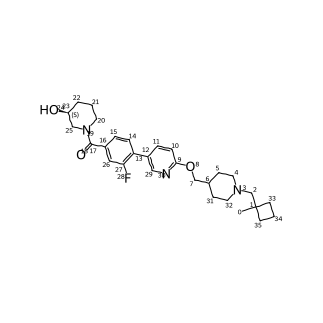 CC1(CN2CCC(COc3ccc(-c4ccc(C(=O)N5CCC[C@H](O)C5)cc4F)cn3)CC2)CCC1